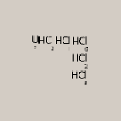 Cl.Cl.Cl.Cl.Cl.[U]